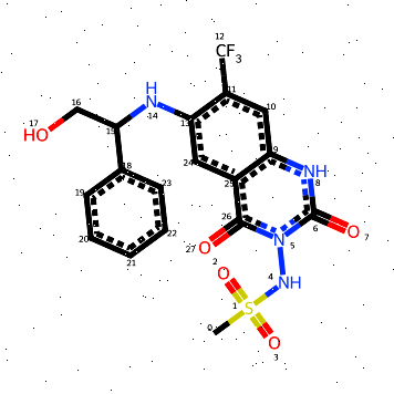 CS(=O)(=O)Nn1c(=O)[nH]c2cc(C(F)(F)F)c(NC(CO)c3ccccc3)cc2c1=O